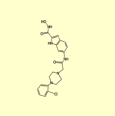 O=C(CN1CCN(c2ccccc2Cl)CC1)Nc1ccc2cc(C(=O)NO)[nH]c2c1